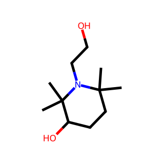 CC1(C)CCC(O)C(C)(C)N1CCO